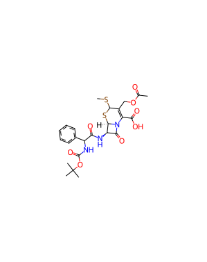 CSC1S[C@@H]2[C@H](NC(=O)C(NC(=O)OC(C)(C)C)c3ccccc3)C(=O)N2C(C(=O)O)=C1COC(C)=O